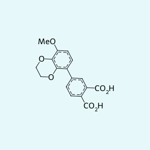 COc1ccc(-c2ccc(C(=O)O)c(C(=O)O)c2)c2c1OCCO2